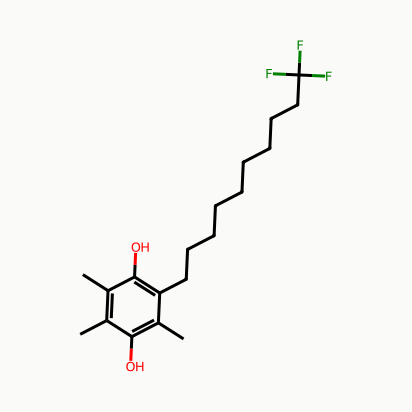 Cc1c(C)c(O)c(CCCCCCCCCC(F)(F)F)c(C)c1O